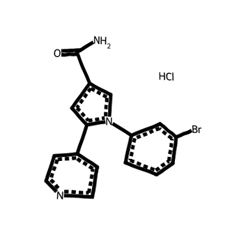 Cl.NC(=O)c1cc(-c2ccncc2)n(-c2cccc(Br)c2)c1